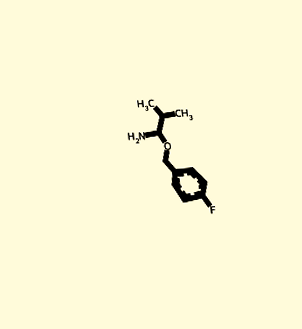 CC(C)C(N)OCc1ccc(F)cc1